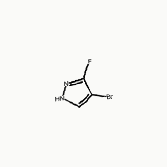 Fc1n[nH]cc1Br